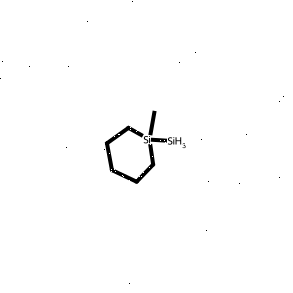 C[Si]1([SiH3])CCCCC1